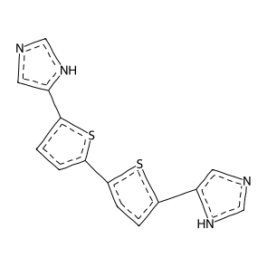 c1ncc(-c2ccc(-c3ccc(-c4cnc[nH]4)s3)s2)[nH]1